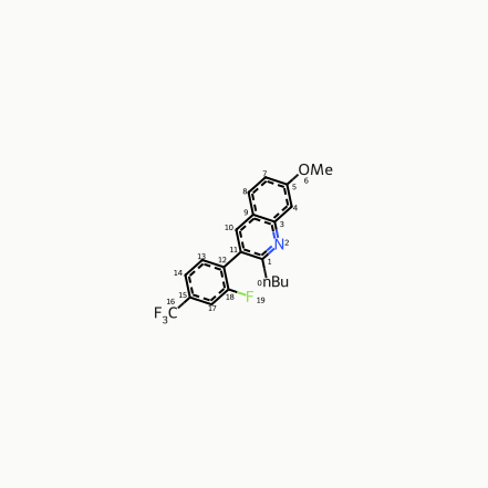 CCCCc1nc2cc(OC)ccc2cc1-c1ccc(C(F)(F)F)cc1F